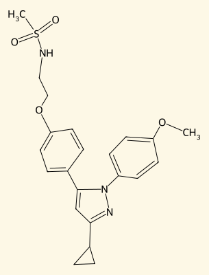 COc1ccc(-n2nc(C3CC3)cc2-c2ccc(OCCNS(C)(=O)=O)cc2)cc1